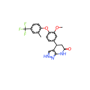 COc1cc(C2CC(=O)Nc3n[nH]cc32)ccc1Oc1ccc(C(F)(F)F)cc1C